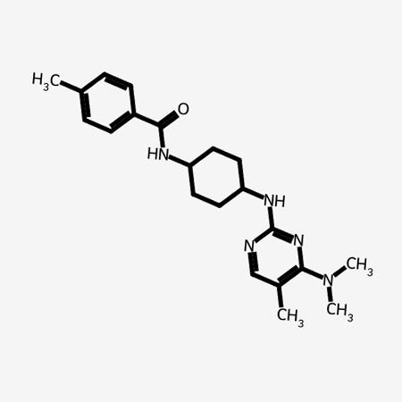 Cc1ccc(C(=O)NC2CCC(Nc3ncc(C)c(N(C)C)n3)CC2)cc1